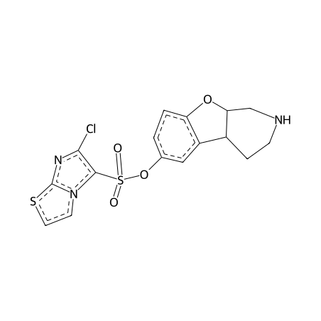 O=S(=O)(Oc1ccc2c(c1)C1CCNCC1O2)c1c(Cl)nc2sccn12